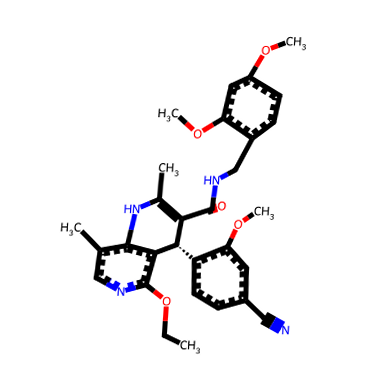 CCOc1ncc(C)c2c1[C@@H](c1ccc(C#N)cc1OC)C(C(=O)NCc1ccc(OC)cc1OC)=C(C)N2